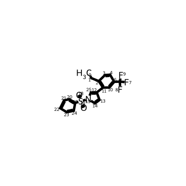 CCc1ccc(C(F)(F)F)cc1-c1ccn(S(=O)(=O)c2ccccc2)c1